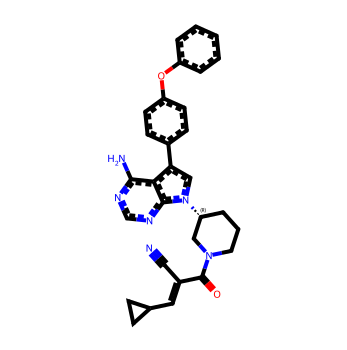 N#CC(=CC1CC1)C(=O)N1CCC[C@@H](n2cc(-c3ccc(Oc4ccccc4)cc3)c3c(N)ncnc32)C1